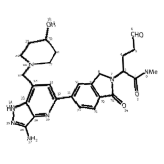 CNC(=O)C(CCC=O)N1Cc2cc(-c3cc(CN4CCC(O)CC4)c4[nH]nc(N)c4n3)ccc2C1=O